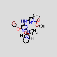 CCC(=O)N1[C@@H]2CCC[C@H]1CC(N(C)c1nc(Nc3cc(C)n(C(=O)OC(C)(C)C)n3)cc(O[C@@H]3CCOC3)n1)C2